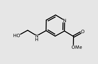 COC(=O)c1cc(NCO)ccn1